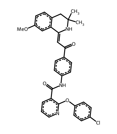 COc1ccc2c(c1)C(=CC(=O)c1ccc(NC(=O)c3cccnc3Oc3ccc(Cl)cc3)cc1)NC(C)(C)C2